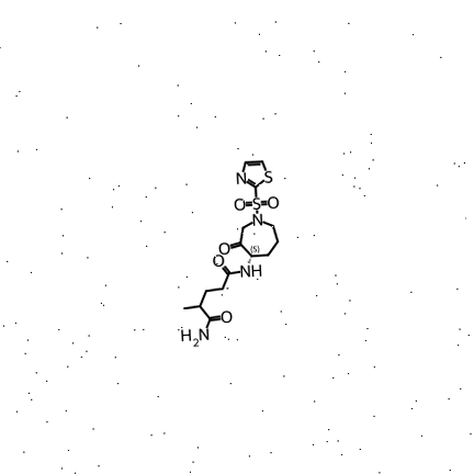 CC(C[CH]C(=O)N[C@H]1CCCN(S(=O)(=O)c2nccs2)CC1=O)C(N)=O